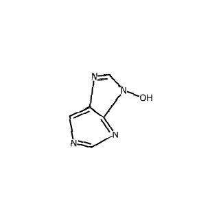 On1cnc2cncnc21